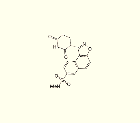 CNS(=O)(=O)c1ccc2c(ccc3onc([C@H]4CCC(=O)NC4=O)c32)c1